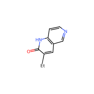 CCc1cc2cnccc2[nH]c1=O